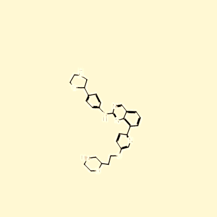 c1cc(-c2ccc(OCCC3CNCCO3)cn2)c2nc(Nc3ccc(C4CNCCO4)cc3)ncc2c1